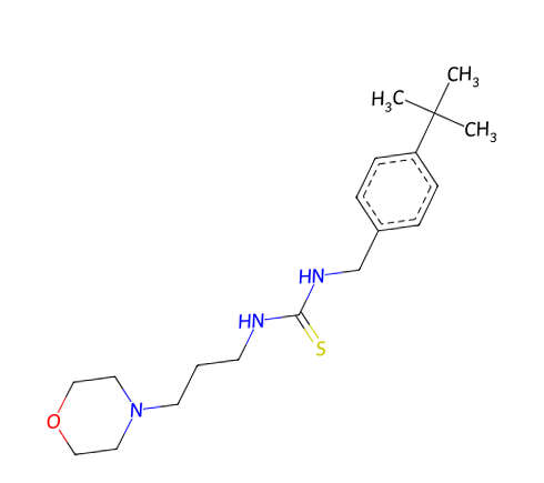 CC(C)(C)c1ccc(CNC(=S)NCCCN2CCOCC2)cc1